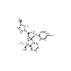 CS(=O)(=O)c1ccccc1-c1sc(-c2ccc(Br)s2)nc1-c1ccc(F)cc1